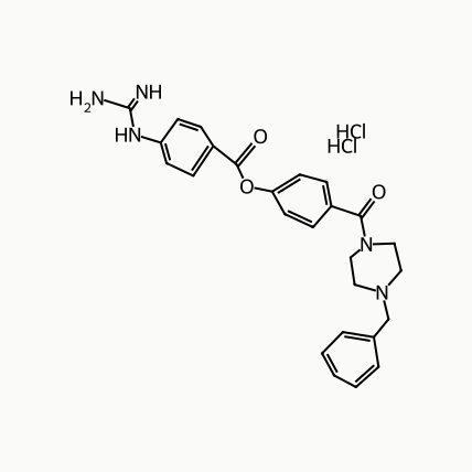 Cl.Cl.N=C(N)Nc1ccc(C(=O)Oc2ccc(C(=O)N3CCN(Cc4ccccc4)CC3)cc2)cc1